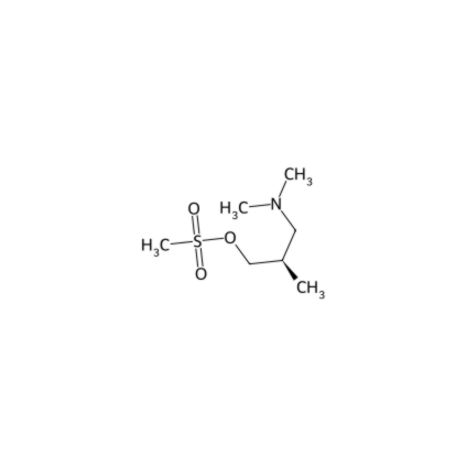 C[C@@H](COS(C)(=O)=O)CN(C)C